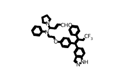 O=C/C=C/[C@@H](N1CCCC1)N(CCOc1ccc(/C(=C(/CC(F)(F)F)c2ccccc2)c2ccc3[nH]ncc3c2)cc1)c1ccccc1